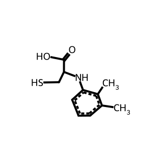 Cc1cccc(NC(CS)C(=O)O)c1C